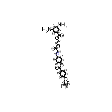 Nc1cc(N)cc(C(=O)OCCOC(=O)/C=C/c2ccc(OC(=O)c3ccc(OCC(F)(F)F)cc3)cc2)c1